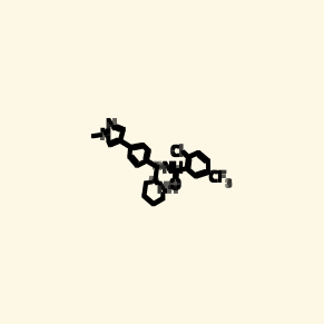 Cn1cc(-c2ccc([C@H](NC(=O)c3cc(C(F)(F)F)ccc3Cl)[C@@H]3CCCCN3)cc2)cn1